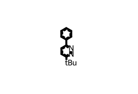 CC(C)(C)c1ccc(-c2ccccc2)nn1